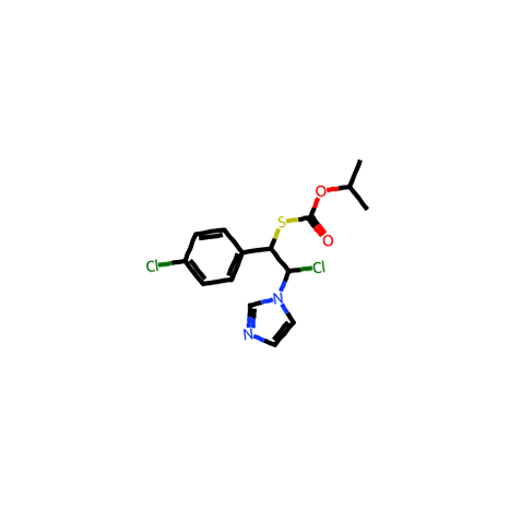 CC(C)OC(=O)SC(c1ccc(Cl)cc1)C(Cl)n1ccnc1